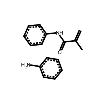 C=C(C)C(=O)Nc1ccccc1.Nc1ccccc1